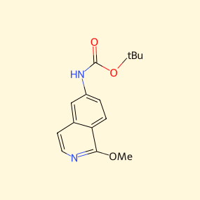 COc1nccc2cc(NC(=O)OC(C)(C)C)ccc12